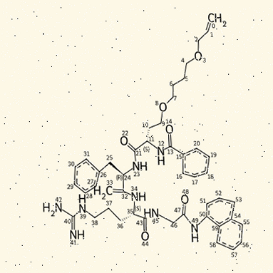 C=CCOCCCCOCC[C@H](NC(=O)c1ccccc1)C(=O)N[C@H](Cc1ccccc1)C(=C)N[C@@H](CCCNC(=N)N)C(=O)NCC(=O)Nc1cccc2ccccc12